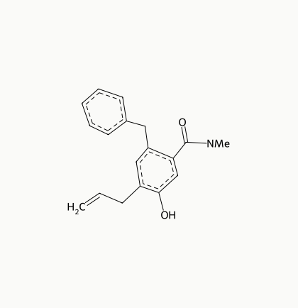 C=CCc1cc(Cc2ccccc2)c(C(=O)NC)cc1O